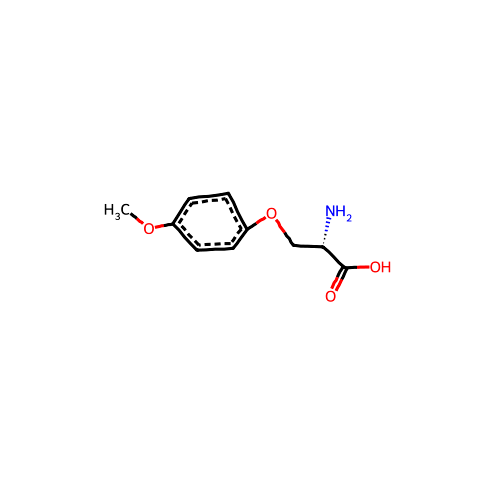 COc1ccc(OC[C@H](N)C(=O)O)cc1